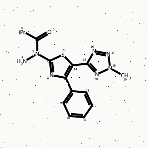 CC(C)C(=O)N(N)c1nc(-c2ccccc2)c(-c2nnn(C)n2)s1